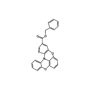 O=C(OCc1ccccc1)c1ccc2c(c1)Oc1cccc3c1N2c1ccccc1O3